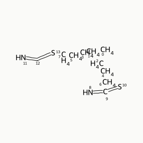 C.C.C.C.C.C.C.C.N=C=S.N=C=S